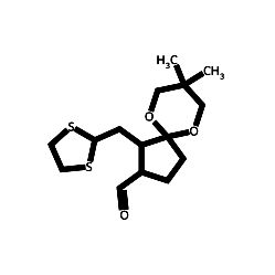 CC1(C)COC2(CCC(C=O)C2CC2SCCS2)OC1